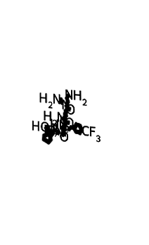 NCCN(CCN)C(=O)CC[C@H](N)C(=O)N[C@H](CCc1ccc(C(F)(F)F)cc1)C(=O)NC[C@H]1OB(O)c2ccccc21